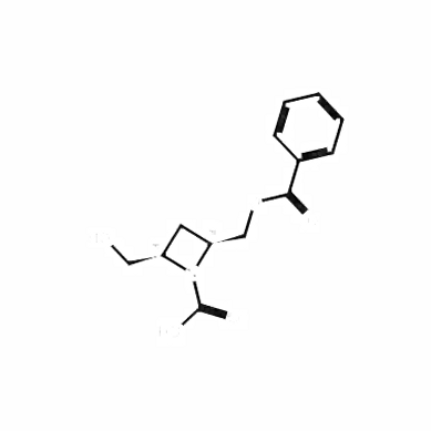 O=C(OC[C@@H]1C[C@H](CO)N1C(=O)O)c1ccccc1